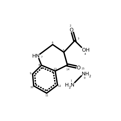 NN.O=C(O)C1CNc2ccccc2C1=O